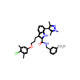 Cc1cc(OCCCc2c(C(=O)NCc3cccc(C(=O)O)c3)[nH]c3c(-c4c(C)nn(C)c4C)cccc23)cc(C)c1Cl